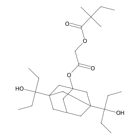 CCC(C)(C)C(=O)OCC(=O)OC12CC3CC(C(O)(CC)CC)(C1)CC(C(O)(CC)CC)(C3)C2